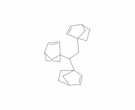 C1=CC2(C[C](C34C=CC(CC3)C4)C34C=CC(CC3)C4)CCC1C2